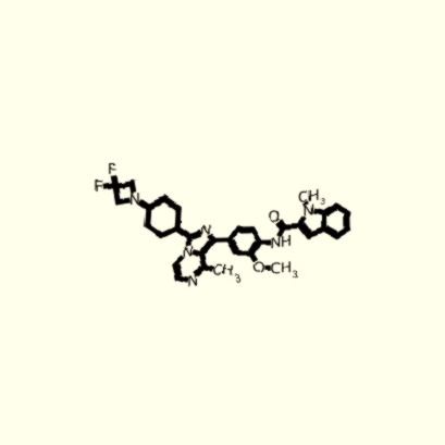 COc1cc(-c2nc(C3CCC(N4CC(F)(F)C4)CC3)n3ccnc(C)c23)ccc1NC(=O)c1cc2ccccc2n1C